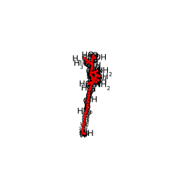 CCCC[C@H](NC(=O)[C@H](CNC(=O)CN(CC(=O)O)CC(=O)O)NC(=O)CCNC(=O)[C@H](Cc1c[nH]cn1)NC(=O)[C@H](CCC(N)=O)NC(=O)[C@H](CO)NC(=O)[C@H](CO)NC(=O)[C@H](CCC(N)=O)NC(=O)[C@@H](CO)NC(=O)CNC(=O)COCCOCCNC(=O)COCCOCCNC(=O)CCCCCCCCCCCCCCCc1nnn[nH]1)C(C)=O